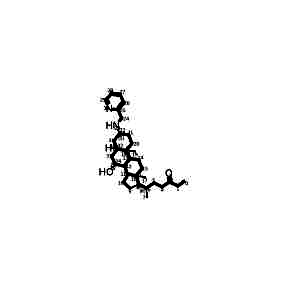 CCC(=O)CC[C@@H](C)[C@H]1CCC2C3C(CC[C@@]21C)[C@@]1(C)CC[C@H](NCc2ccccn2)C[C@@H]1C[C@H]3O